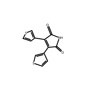 O=C1NC(=O)C(c2ccsc2)=C1c1ccsc1